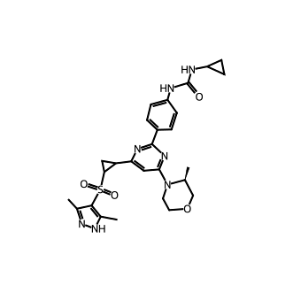 Cc1n[nH]c(C)c1S(=O)(=O)C1CC1c1cc(N2CCOC[C@@H]2C)nc(-c2ccc(NC(=O)NC3CC3)cc2)n1